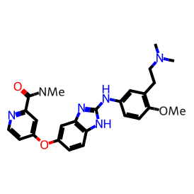 CNC(=O)c1cc(Oc2ccc3[nH]c(Nc4ccc(OC)c(CCN(C)C)c4)nc3c2)ccn1